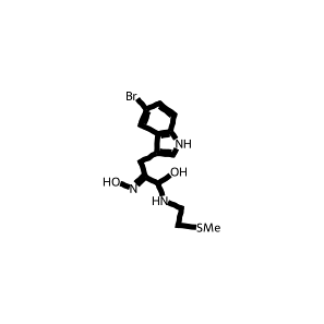 CSCCNC(O)/C(Cc1c[nH]c2ccc(Br)cc12)=N/O